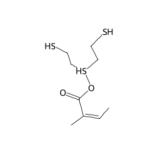 CC=C(C)C(=O)O[SH](CCS)CCS